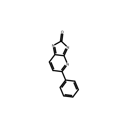 O=C1N=c2ccc(-c3ccccc3)nc2=N1